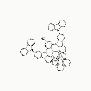 N#Cc1cc(-n2c3cc(-n4c5ccccc5c5ccccc54)ccc3c3ccc(-n4c5ccccc5c5ccccc54)cc32)c(-c2ccncc2)c(-n2c3cc(-n4c5ccccc5c5ccccc54)ccc3c3ccc(-n4c5ccccc5c5ccccc54)cc32)c1